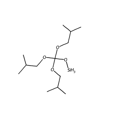 CC(C)COC(O[SiH3])(OCC(C)C)OCC(C)C